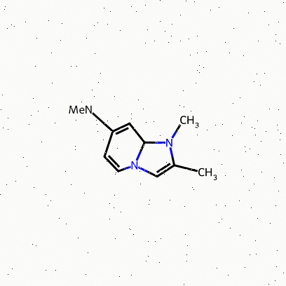 CNC1=CC2N(C=C1)C=C(C)N2C